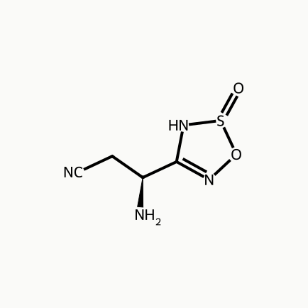 N#CC[C@H](N)C1=NOS(=O)N1